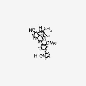 COc1cc(-c2nccn2C)ccc1-c1ccc2c(N[C@H](C)C3CC3)c(C#N)nnc2c1